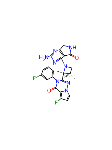 C[C@H]1CN(c2nc(N)nc3c2C(=O)NC3)[C@]1(C)c1nn2ccc(F)c2c(=O)n1-c1cccc(F)c1